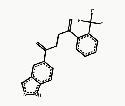 C=C(CCC(=C)c1ccccc1C(F)(F)F)c1ccc2[nH]ncc2c1